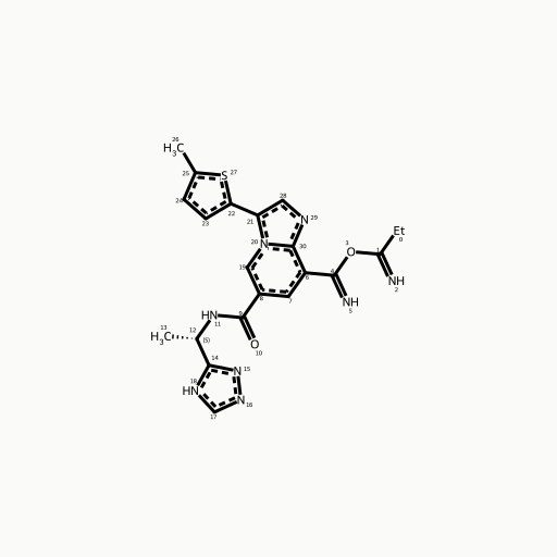 CCC(=N)OC(=N)c1cc(C(=O)N[C@@H](C)c2nnc[nH]2)cn2c(-c3ccc(C)s3)cnc12